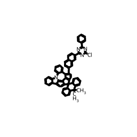 CC1(C)c2ccccc2C2(c3ccccc31)c1ccc(-c3ccc4ccc(-c5nc(Cl)nc(-c6ccccc6)n5)cc4c3)c3c1-c1c2ccc2c4ccccc4n(c12)-c1ccccc1-3